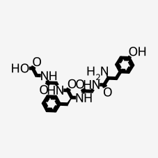 N[C@H](Cc1ccc(O)cc1)C(=O)NCC(=O)N[C@@H](Cc1ccccc1)C(=O)NCC(=O)NCC(=O)O